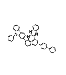 c1ccc(-c2ccc(-c3cccc(-c4nc5ccccc5nc4-n4c5ccccc5c5cc6c(cc54)c4ccccc4n6-c4ccccc4)c3)cc2)cc1